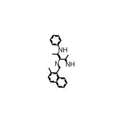 CC(=N)C(/N=C/c1c(C)ccc2ccccc12)=C(/C)Nc1ccccc1